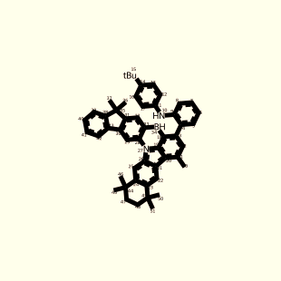 Cc1cc(-c2ccccc2Nc2ccc(C(C)(C)C)cc2)c2c3c1c1cc4c(cc1n3-c1cc3c(cc1B2)C(C)(C)c1ccccc1-3)C(C)(C)CCC4(C)C